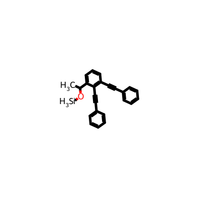 CC(O[SiH3])c1cccc(C#Cc2ccccc2)c1C#Cc1ccccc1